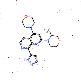 CC1COCCN1c1cc(N2CCOCC2)c2ccnc(-c3ccn[nH]3)c2n1